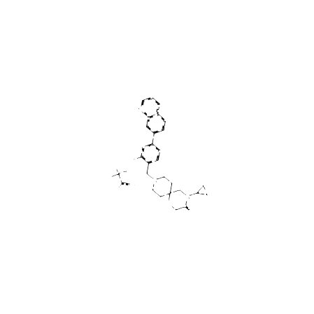 O=C(O)C(F)(F)F.O=C1COC2(CCN(Cc3ccc(-c4ccc5cccnc5c4)cc3O)CC2)CN1C1CC1